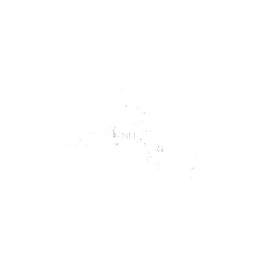 COc1ccc(C(=O)Nc2nc(-c3ccccc3)cs2)c(NS(=O)(=O)c2ccc(Br)cc2)c1